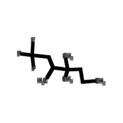 CCCC(C)(C)C(C)CC(F)(F)F